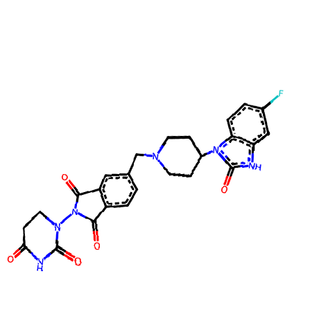 O=C1CCN(N2C(=O)c3ccc(CN4CCC(n5c(=O)[nH]c6cc(F)ccc65)CC4)cc3C2=O)C(=O)N1